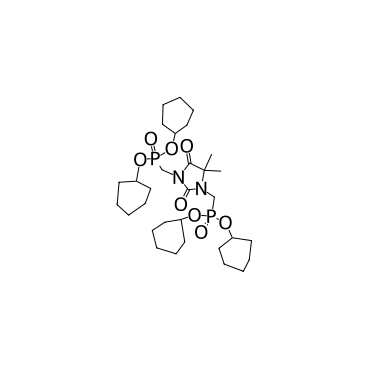 CC1(C)C(=O)N(CP(=O)(OC2CCCCC2)OC2CCCCC2)C(=O)N1CP(=O)(OC1CCCCC1)OC1CCCCC1